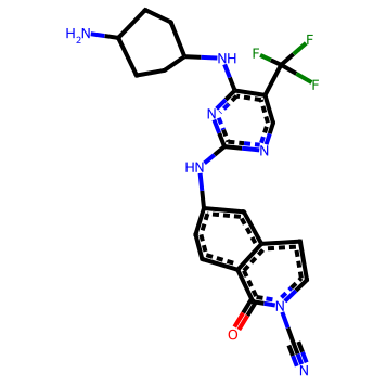 N#Cn1ccc2cc(Nc3ncc(C(F)(F)F)c(NC4CCC(N)CC4)n3)ccc2c1=O